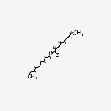 CCCCCCCCCOC(=O)CCCCCCCC